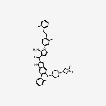 Cc1cc(-n2ncc(C(=O)c3cc4cc(OC5CCN(C6CS(=O)(=O)C6)CC5)c(-c5ccccc5C)cc4[nH]3)c2N)ccc1CCc1ccccc1F